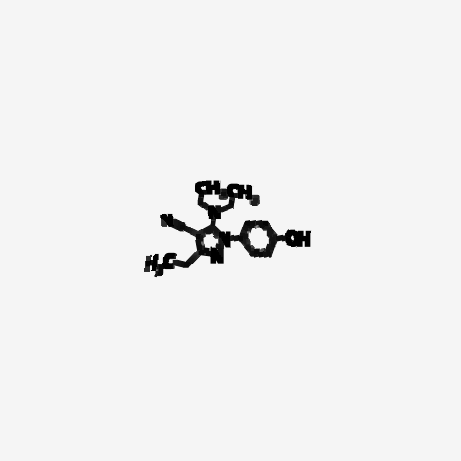 CCc1nn(-c2ccc(O)cc2)c(N(CC)CC)c1C#N